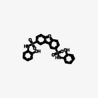 O=S(=O)(Nc1ccc#cc1O)c1ccc2oc3ccc(S(=O)(=O)Nc4ccccc4O)cc3c2c1